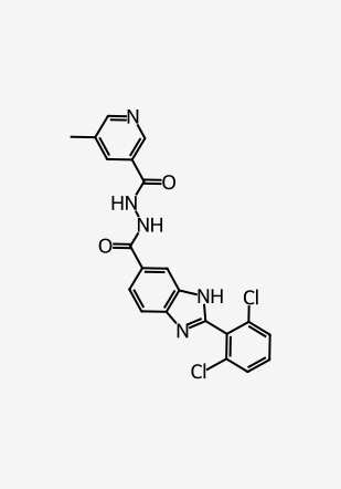 Cc1cncc(C(=O)NNC(=O)c2ccc3nc(-c4c(Cl)cccc4Cl)[nH]c3c2)c1